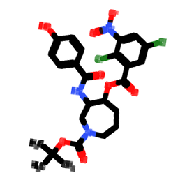 CC(C)(C)OC(=O)N1CCCC(OC(=O)c2cc(Cl)cc([N+](=O)[O-])c2Cl)C(NC(=O)c2ccc(O)cc2)C1